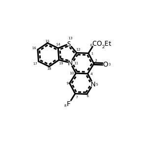 CCOC(=O)c1c(=O)c2ncc(F)cc2n2c1sc1ccccc12